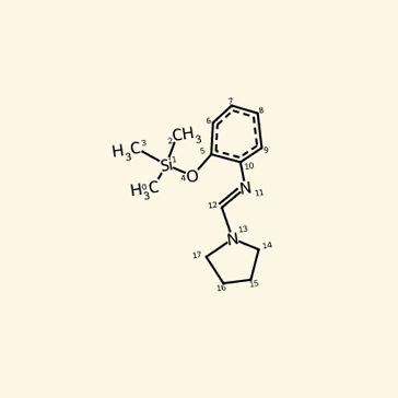 C[Si](C)(C)Oc1ccccc1N=CN1CCCC1